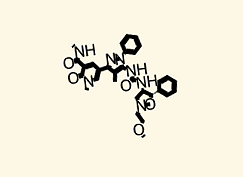 CNC(=O)c1cc(-c2nn(-c3ccccc3)c(NC(=O)N[C@@H]3CN(CCOC)O[C@H]3c3ccccc3)c2C)cn(C)c1=O